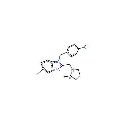 Cc1ccc2c(c1)nc(CN1CCC[C@H]1C)n2Cc1ccc(Cl)cc1